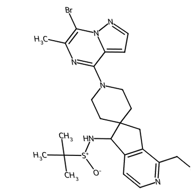 Cc1nc(N2CCC3(CC2)Cc2c(ccnc2CO)C3N[S+]([O-])C(C)(C)C)c2ccnn2c1Br